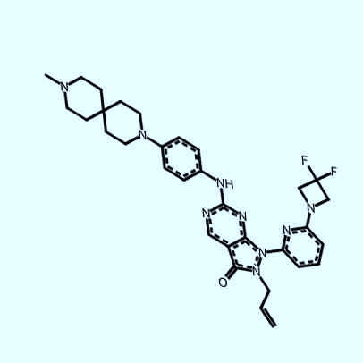 C=CCn1c(=O)c2cnc(Nc3ccc(N4CCC5(CCN(C)CC5)CC4)cc3)nc2n1-c1cccc(N2CC(F)(F)C2)n1